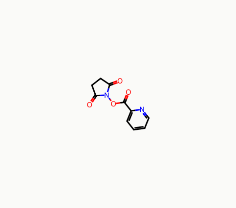 O=C(ON1C(=O)CCC1=O)c1ccccn1